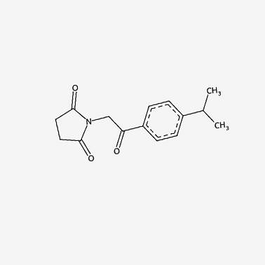 CC(C)c1ccc(C(=O)CN2C(=O)CCC2=O)cc1